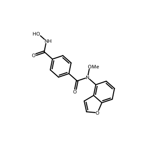 CON(C(=O)c1ccc(C(=O)NO)cc1)c1cccc2occc12